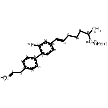 C=CCc1ccc(-c2ccc(/C=C/CCCC(C)OCCCCC)cc2F)cc1